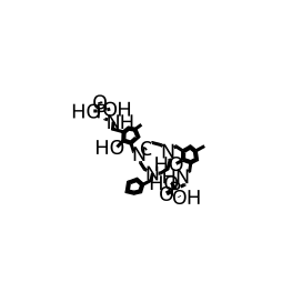 Cc1cc(CNCP(=O)(O)O)c(O)c(CN2CCCN(Cc3ccccc3)CCN(Cc3cc(C)cc(CNCP(=O)(O)O)c3O)CCC2)c1